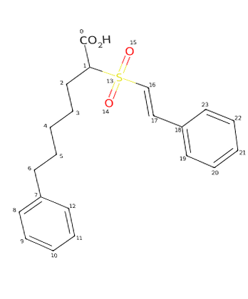 O=C(O)C(CCCCCc1ccccc1)S(=O)(=O)C=Cc1ccccc1